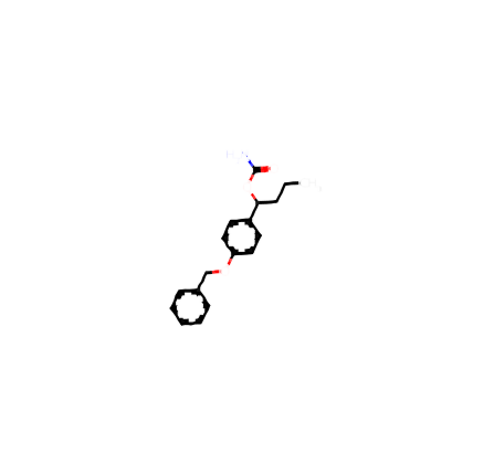 CCCC(OC(N)=O)c1ccc(OCc2ccccc2)cc1